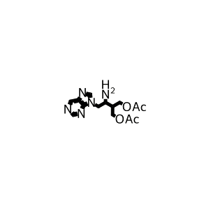 CC(=O)OCC(COC(C)=O)C(N)Cn1cnc2cncnc21